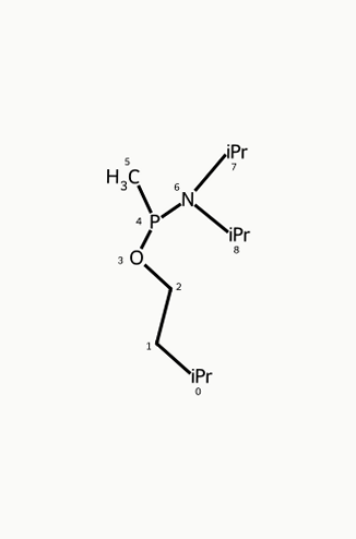 CC(C)CCOP(C)N(C(C)C)C(C)C